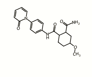 COC1CCC(C(=O)Nc2ccc(-n3ccccc3=O)cc2)C(C(N)=O)C1